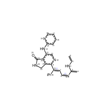 C=CNC(=C)/N=C\C=C(\c1ncc(Nc2ccccn2)c2c1CNC2=O)C(C)C